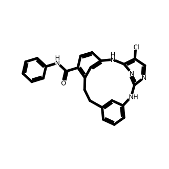 O=C(Nc1ccccc1)c1ccc2cc1CCc1cccc(c1)Nc1ncc(Cl)c(n1)N2